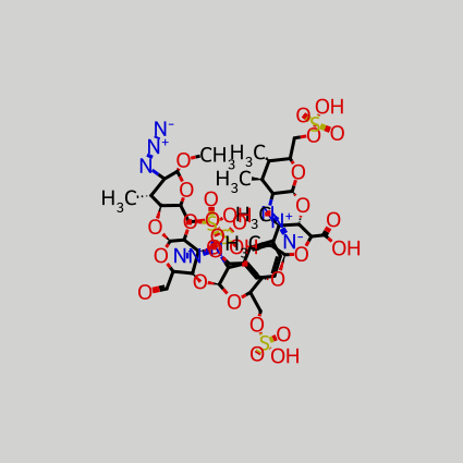 CO[C@H]1OC(COS(=O)(=O)O)[C@@H](O[C@@H]2OC(C=O)[C@H](O[C@@H]3OC(COS(=O)(=O)O)[C@@H](O[C@@H]4OC(C(=O)O)[C@@H](O[C@H]5OC(COS(=O)(=O)O)[C@@H](C)[C@H](C)C5N=[N+]=[N-])[C@H](C)C4C)CC3N=[N+]=[N-])[C@@H](OCc3ccccc3)C2OS(=O)(=O)O)[C@H](C)C1N=[N+]=[N-]